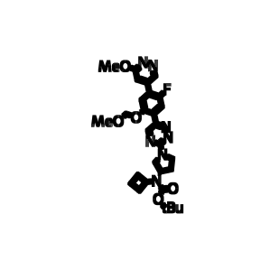 COCOc1cc(-c2cnnc(OC)c2)c(F)cc1-c1cnc(N2CC[C@H](N(C(=O)OC(C)(C)C)C3CCC3)C2)nn1